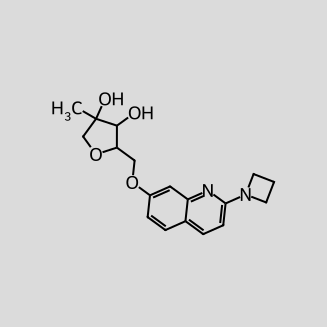 CC1(O)COC(COc2ccc3ccc(N4CCC4)nc3c2)C1O